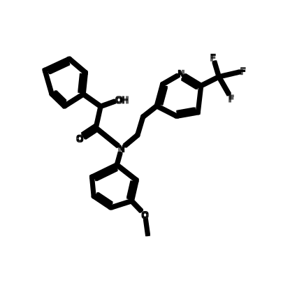 COc1cccc(N(CCc2ccc(C(F)(F)F)nc2)C(=O)C(O)c2ccccc2)c1